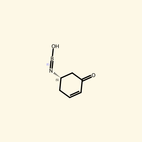 O=C1C=CC[C@H](/N=B/O)C1